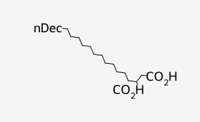 CCCCCCCCCCCCCCCCCCCCCCC(CC(=O)O)C(=O)O